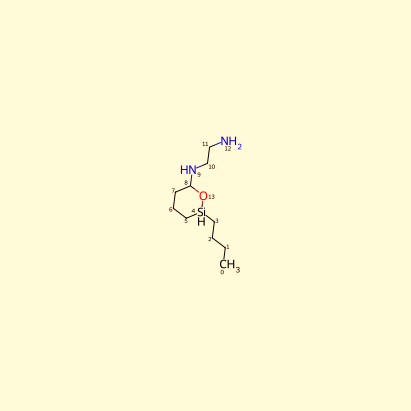 CCCC[SiH]1CCCC(NCCN)O1